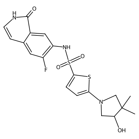 CC1(C)CN(c2ccc(S(=O)(=O)Nc3cc4c(=O)[nH]ccc4cc3F)s2)CC1O